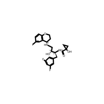 O=C(N[C@@H](Cc1cc(F)cc(F)c1)[C@H](O)CN[C@H]1CCOc2ccc(I)cc21)C1(O)CC1